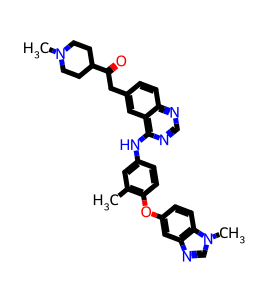 Cc1cc(Nc2ncnc3ccc(CC(=O)C4CCN(C)CC4)cc23)ccc1Oc1ccc2c(c1)ncn2C